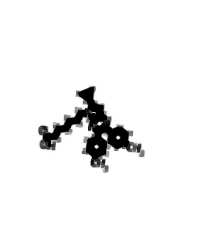 Cc1ccc(-c2nc3cc(C4CC4)n(CCCCCCC(=O)O)c3nc2-c2ccc(C)cc2)cc1